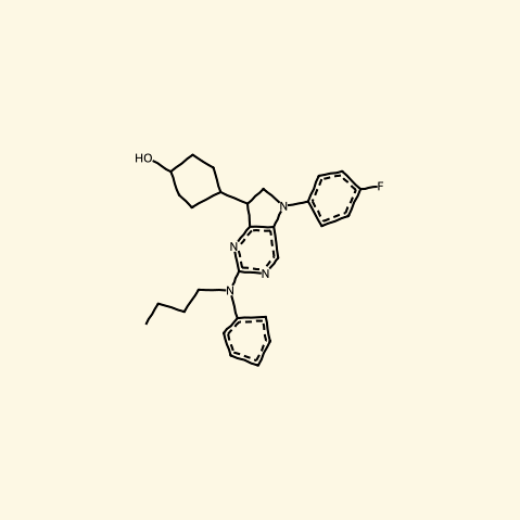 CCCCN(c1ccccc1)c1ncc2c(n1)C(C1CCC(O)CC1)CN2c1ccc(F)cc1